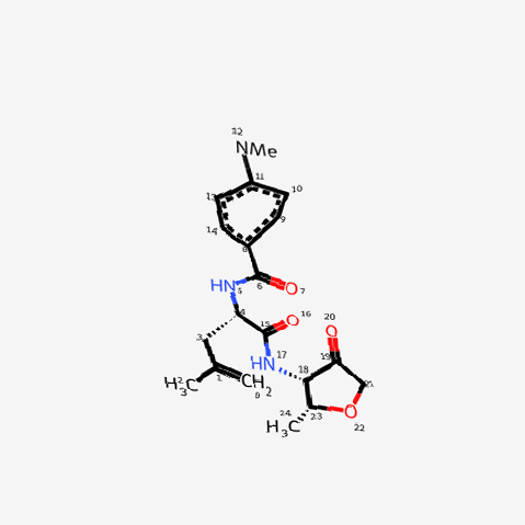 C=C(C)C[C@H](NC(=O)c1ccc(NC)cc1)C(=O)N[C@@H]1C(=O)CO[C@@H]1C